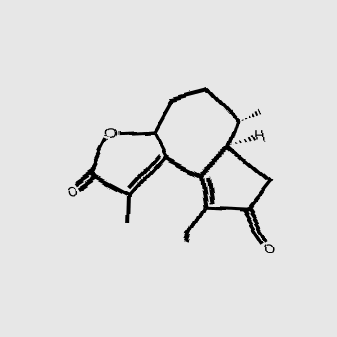 CC1=C2C3=C(C)C(=O)C[C@@H]3[C@@H](C)CCC2OC1=O